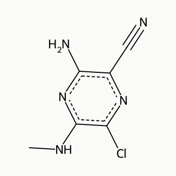 CNc1nc(N)c(C#N)nc1Cl